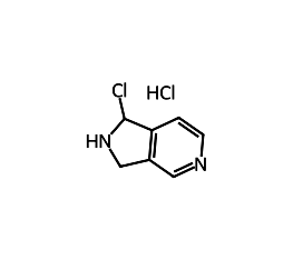 Cl.ClC1NCc2cnccc21